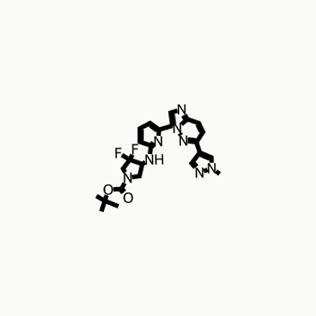 Cn1cc(-c2ccc3ncc(-c4cccc(NC5CN(C(=O)OC(C)(C)C)CC5(F)F)n4)n3n2)cn1